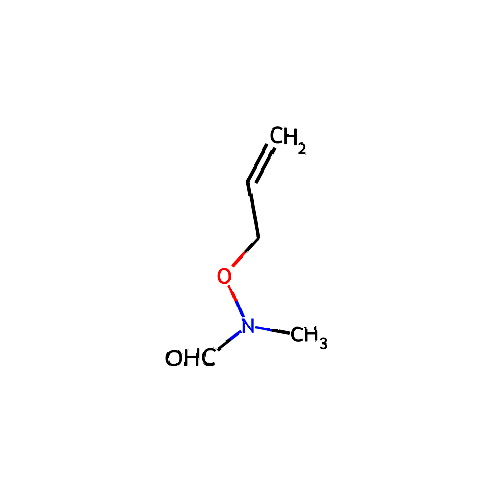 C=CCON(C)C=O